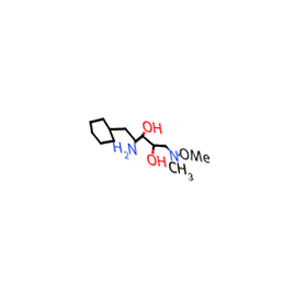 CON(C)CC(O)C(O)C(N)CC1CCCCC1